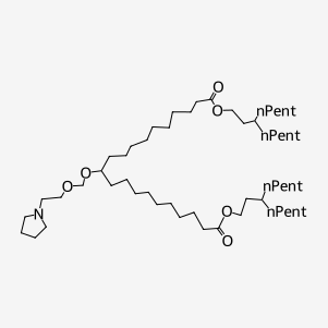 CCCCCC(CCCCC)CCOC(=O)CCCCCCCCCC(CCCCCCCCCC(=O)OCCC(CCCCC)CCCCC)OCOCCN1CCCC1